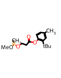 COP(C)OCCC(=O)Oc1ccc(C)cc1C(C)(C)C